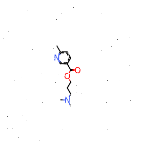 Cc1ccc(C(=O)OCCCN(C)C)cn1